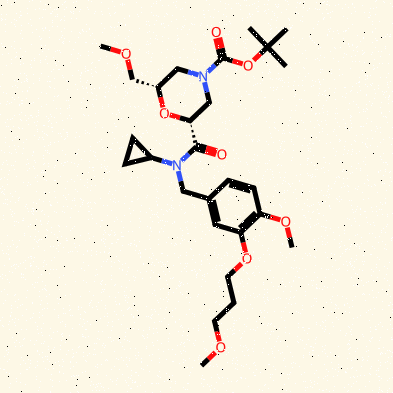 COCCCOc1cc(CN(C(=O)[C@H]2CN(C(=O)OC(C)(C)C)C[C@@H](COC)O2)C2CC2)ccc1OC